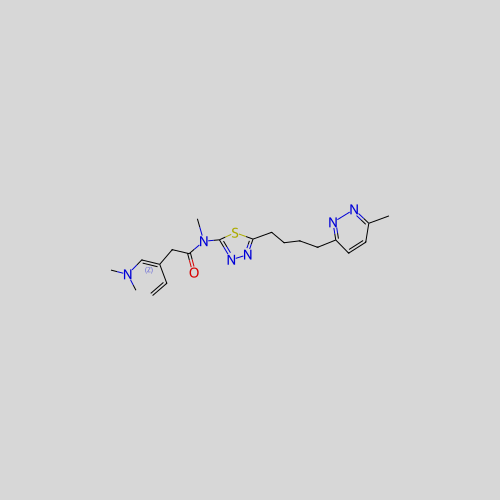 C=C/C(=C\N(C)C)CC(=O)N(C)c1nnc(CCCCc2ccc(C)nn2)s1